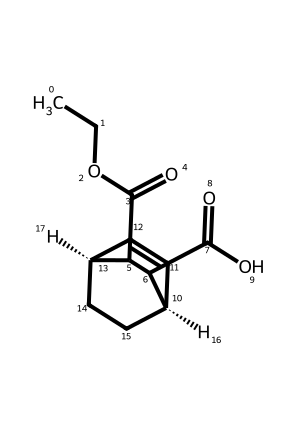 CCOC(=O)C1C(C(=O)O)[C@H]2C=C[C@@H]1CC2